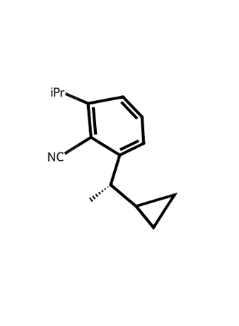 CC(C)c1cccc([C@@H](C)C2CC2)c1C#N